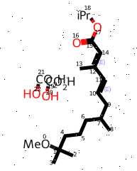 COC(C)(C)CCCC(C)C/C=C/C(C)=C/C(=O)OC(C)C.O=C(O)O.O=C(O)O